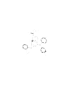 COc1ccccc1CN1CC(C(c2ccc(C)cc2)c2ccc(C)cc2)N2CCN(C(=O)O)C[C@H]2C1